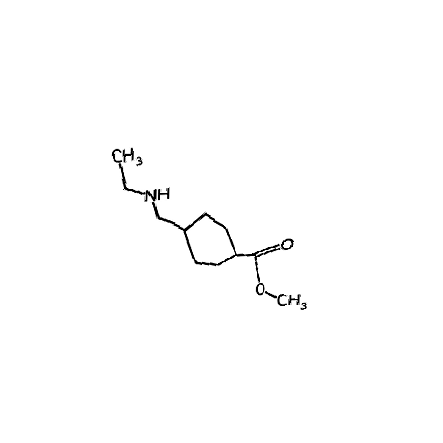 CCNCC1CCC(C(=O)OC)CC1